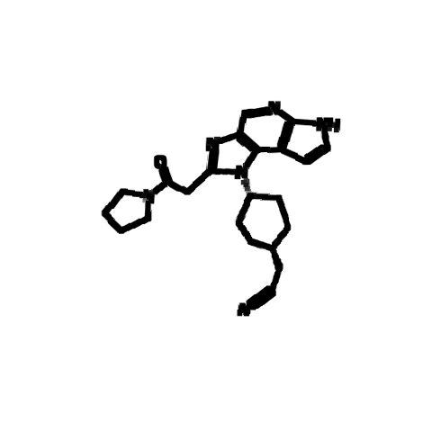 N#CC[C@H]1CC[C@H](n2c(CC(=O)N3CCCC3)nc3cnc4[nH]ccc4c32)CC1